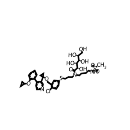 CS(=O)(=O)NCCCCN(CCCSc1ccc(Cl)c(COC2(c3cnccc3-c3ccccc3OC3CC3)CC2)c1)C(=O)[C@@H](O)[C@@H](O)[C@H](O)[C@@H](O)CO